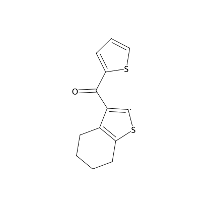 O=C(c1cccs1)c1[c]sc2c1CCCC2